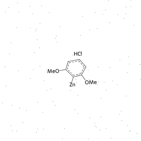 COc1cccc(OC)[c]1[Zn].Cl